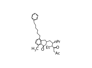 CCCC(CC1CC(=O)c2c(C)ccc(CCCCCCc3ccccc3)c2C1)C(CC)C(=O)CC(C)=O